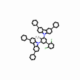 Fc1cccc(F)c1-c1cc(-n2c3ccc(-c4ccccc4)cc3c3cc(-c4ccccc4)ccc32)c(C(F)(F)F)c(-n2c3ccc(-c4ccccc4)cc3c3cc(-c4ccccc4)ccc32)c1